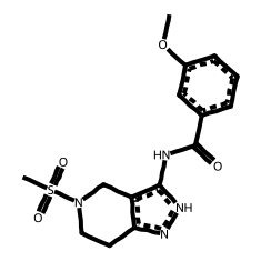 COc1cccc(C(=O)Nc2[nH]nc3c2CN(S(C)(=O)=O)CC3)c1